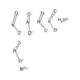 O=N[O-].O=N[O-].O=N[O-].O=N[O-].O=N[O-].[Bi+3].[OH4+2]